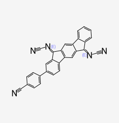 N#C/N=c1\c2ccccc2c2cc3/c(=N/C#N)c4cc(-c5ccc(C#N)cc5)ccc4c3cc12